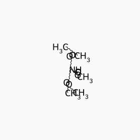 CCCCCCC(CCCC)COC(=O)CCCCCCCCC(CCCCCCCCC(=O)OCC(CCCC)CCCCCC)NCCCC(=O)OCC